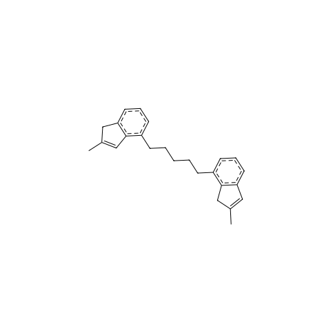 CC1=Cc2c(CCCCCc3cccc4c3CC(C)=C4)cccc2C1